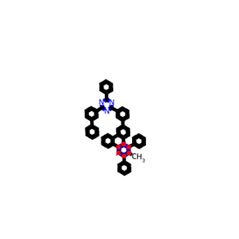 Cc1cccc(-c2ccc(-c3cccc(-c4nc(-c5ccccc5)nc(-c5cccc(-c6ccccc6)c5)n4)c3)cc2-c2ccccc2-c2nc(-c3ccccc3)nc(-c3ccccc3)n2)n1